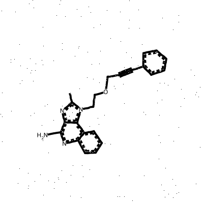 Cc1nc2c(N)nc3ccccc3c2n1CCOCC#Cc1ccccc1